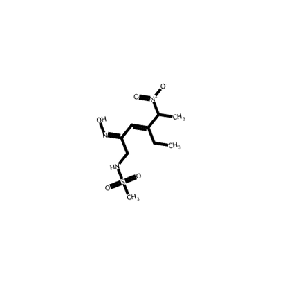 CC/C(=C\C(CNS(C)(=O)=O)=N/O)C(C)[N+](=O)[O-]